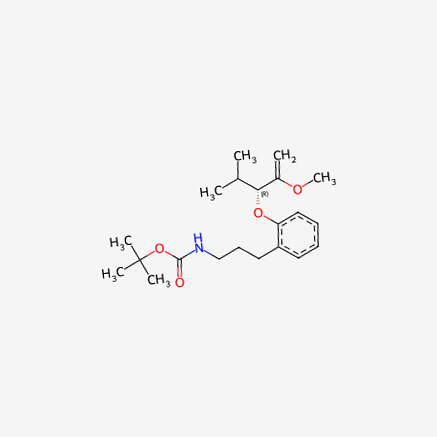 C=C(OC)[C@H](Oc1ccccc1CCCNC(=O)OC(C)(C)C)C(C)C